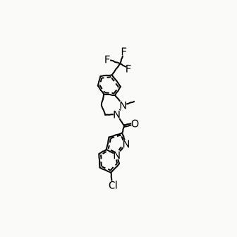 CN1c2cc(C(F)(F)F)ccc2CCN1C(=O)c1cc2ccc(Cl)cn2n1